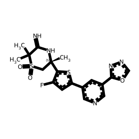 CC1(C)C(=N)N[C@](C)(c2sc(-c3cncc(-c4nnco4)c3)cc2F)CS1(=O)=O